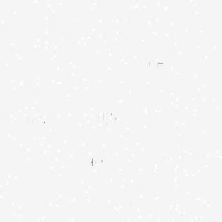 Nc1ccc(C(=O)O)cc1.Nc1ccccc1C(=O)O